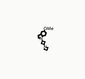 COc1ccc2c(ccn2C2CC(N3CCC3)C2)c1